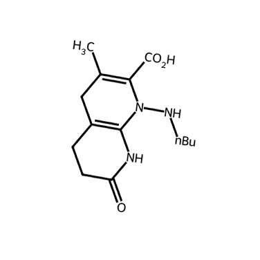 CCCCNN1C2=C(CCC(=O)N2)CC(C)=C1C(=O)O